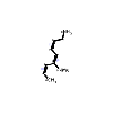 C\C=C/C(=C\C=C/CN)NC